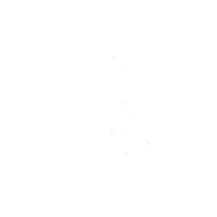 Cc1nc(N(C)C=O)c(C(=O)N(C)Cc2ccno2)n1Cc1ccc(Cl)cc1